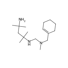 CN(CNC(C)(C)CC(C)(C)N)CC1=CCCCC1